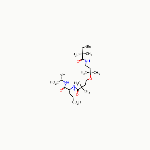 CCC[C@H](NC(=O)[C@H](CCC(=O)O)NC(=O)C(C)(C)CCOC(C)(C)CCNC(=O)C(C)(C)CC(C)(C)C)C(=O)O